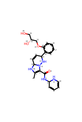 CC1=C(C(=O)NC2C=CC=CN2)N2NC(c3ccccc3OC[C@H](O)CO)C=CC2N1